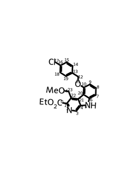 CCOC(=O)c1ncc2[nH]c3cccc(OCc4ccc(Cl)cc4)c3c2c1COC